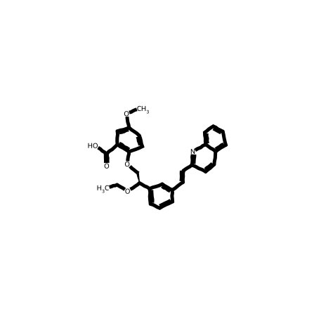 CCO[C@@H](COc1ccc(OC)cc1C(=O)O)c1cccc(/C=C/c2ccc3ccccc3n2)c1